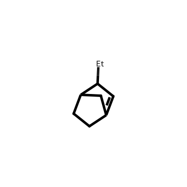 CCC1C=C2CCC1C2